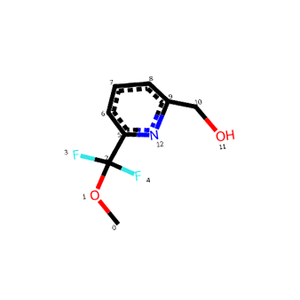 COC(F)(F)c1cccc(CO)n1